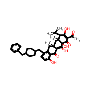 CC(=O)C1=C(O)C(C(C)C)[C@@]2(C)C[C@@]3(C)Cc4c(CC5CCC(Cc6ccccc6)CC5)ccc(O)c4C(=O)C3=C(O)[C@@]2(O)C1=O